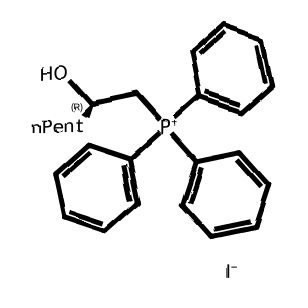 CCCCC[C@@H](O)C[P+](c1ccccc1)(c1ccccc1)c1ccccc1.[I-]